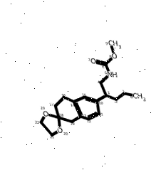 CCCC(CNC(=O)OC)c1ccc2c(c1)CCC1(C2)OCCO1